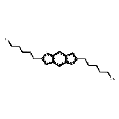 CCCCCCc1cc2cc3sc(CCCCCC)cc3cc2s1